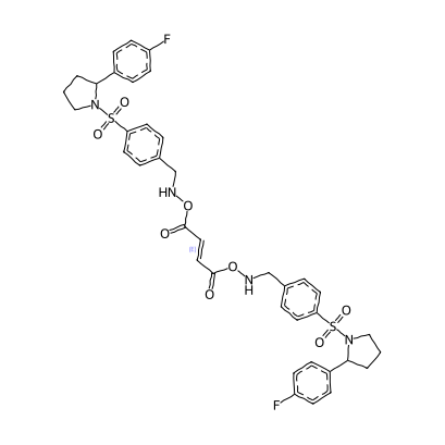 O=C(/C=C/C(=O)ONCc1ccc(S(=O)(=O)N2CCCC2c2ccc(F)cc2)cc1)ONCc1ccc(S(=O)(=O)N2CCCC2c2ccc(F)cc2)cc1